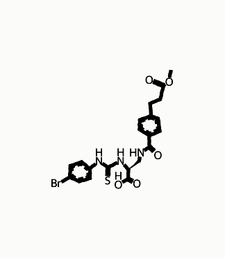 COC(=O)CCc1ccc(C(=O)NC[C@H](NC(=S)Nc2ccc(Br)cc2)C(=O)O)cc1